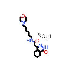 CS(=O)(=O)O.O=C(Cc1n[nH]c(=O)c2c1CCCC2)NCCCCCCN1CCOCC1